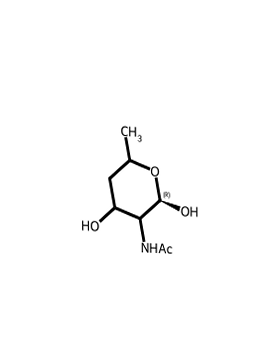 CC(=O)NC1C(O)CC(C)O[C@H]1O